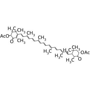 CC(=O)O[C@H]1CC(C)(C)C(/C=C/C(C)=C/C=C/C(C)=C/C=C/C=C(C)/C=C/C=C(C)/C=C/C2C(C)C(=O)[C@@H](OC(C)=O)CC2(C)C)=C(C)C1=O